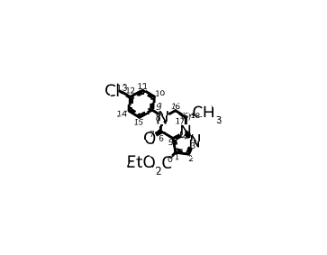 CCOC(=O)c1cnn2c1C(=O)N(c1ccc(Cl)cc1)C[C@@H]2C